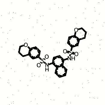 O=S(=O)(Nc1ccc(NS(=O)(=O)c2ccc3c(c2)CCCO3)c2ccccc12)c1ccc2c(c1)CCCO2